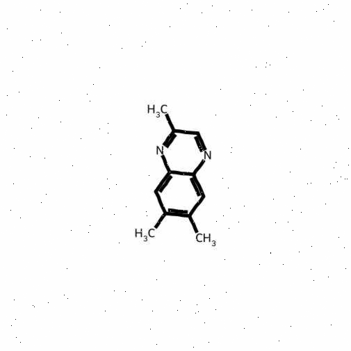 Cc1cnc2cc(C)c(C)cc2n1